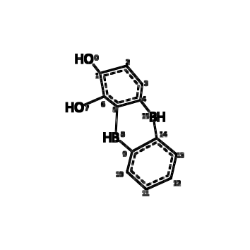 Oc1ccc2c(c1O)Bc1ccccc1B2